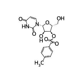 Cc1ccc(S(=O)(=O)O[C@H]2[C@@H](O)[C@H](n3ccc(=O)[nH]c3=O)O[C@@H]2CO)cc1